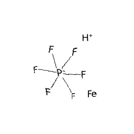 F[P-](F)(F)(F)(F)F.[Fe].[H+]